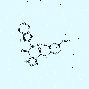 COc1ccc(NC(=O)c2nc[nH]c2C(=O)Nc2nc3ccccc3[nH]2)c(OC)c1